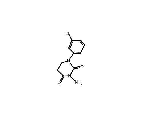 NN1C(=O)CCN(c2cccc(Cl)c2)C1=O